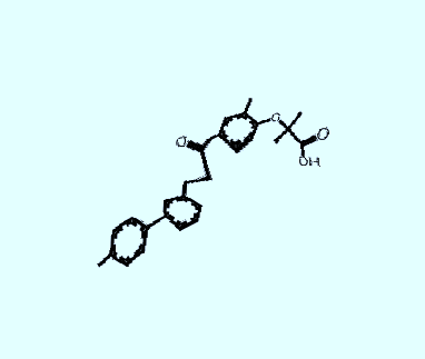 Cc1ccc(-c2cccc(CCC(=O)c3ccc(OC(C)(C)C(=O)O)c(C)c3)c2)cc1